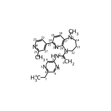 C=C(Nc1cnc(CC)cn1)N1CCCN(C)c2ccc(-c3ccnc(C)c3)nc21